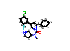 CN(C(=O)N1CC(c2cc(Cl)ccc2F)=C[C@H]1c1ccccc1)C1CCNC1